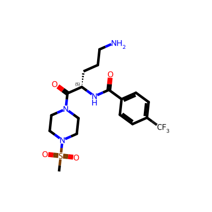 CS(=O)(=O)N1CCN(C(=O)[C@H](CCCN)NC(=O)c2ccc(C(F)(F)F)cc2)CC1